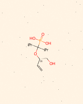 C=C[C@@H](CO)OC(C(C)C)(C(C)C)P(=O)(O)O